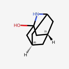 OC12C[C@@H]3CC(C[C@@H](C3)C1)N2